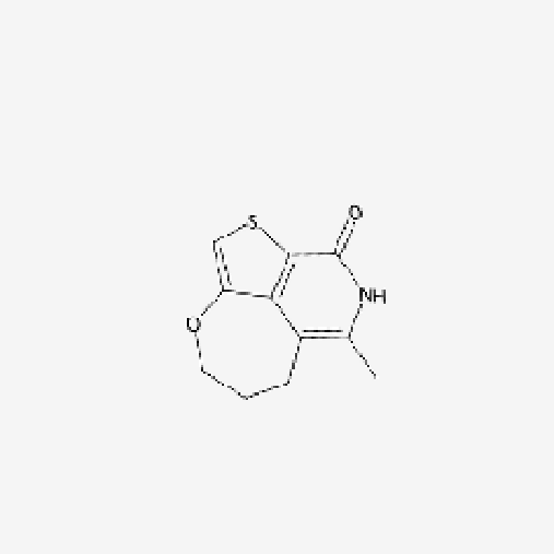 Cc1[nH]c(=O)c2scc3c2c1CCCO3